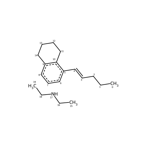 CCCC=Cc1cccc2c1CCCC2.CCNCC